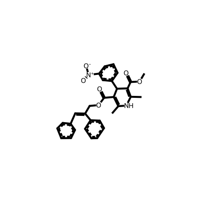 COC(=O)C1=C(C)NC(C)=C(C(=O)OCC(=Cc2ccccc2)c2ccccc2)C1c1cccc([N+](=O)[O-])c1